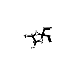 C=CC1(C=C)OC(F)C(F)O1